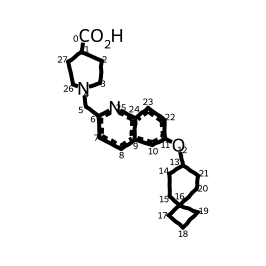 O=C(O)C1CCN(Cc2ccc3cc(OC4CCC5(CCC5)CC4)ccc3n2)CC1